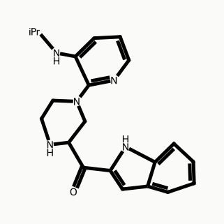 CC(C)Nc1cccnc1N1CCNC(C(=O)c2cc3ccccc3[nH]2)C1